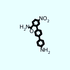 NC(=O)c1ccc([N+](=O)[O-])cc1-c1ccc(-c2ccc(N)cc2)cc1